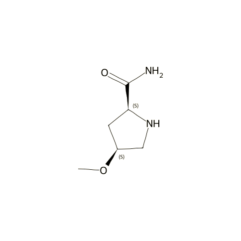 CO[C@@H]1CN[C@H](C(N)=O)C1